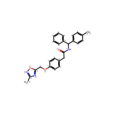 Cc1ccc(C(NC(=O)Cc2ccc(OCc3nc(C)no3)cc2)c2ccccc2)cc1